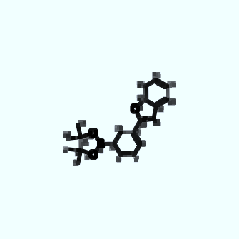 CC1(C)OB(C2C=CC=C(c3cc4ccccc4o3)C2)OC1(C)C